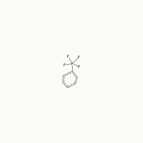 FP(F)(F)(F)c1ccccc1